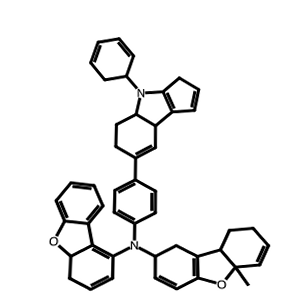 CC12C=CCCC1C1=C(C=CC(N(C3=C4c5ccccc5OC4CC=C3)c3ccc(C4=CC5C6=C(CC=C6)N(C6C=CC=CC6)C5CC4)cc3)C1)O2